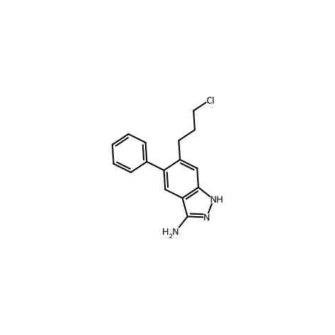 Nc1n[nH]c2cc(CCCCl)c(-c3ccccc3)cc12